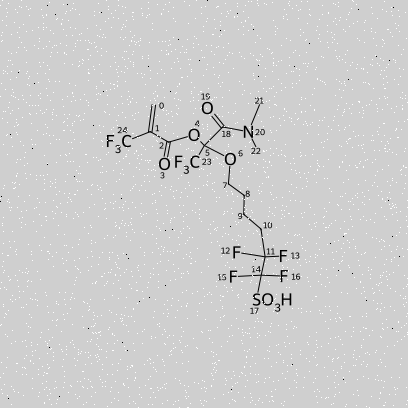 C=C(C(=O)OC(OCCCCC(F)(F)C(F)(F)S(=O)(=O)O)(C(=O)N(C)C)C(F)(F)F)C(F)(F)F